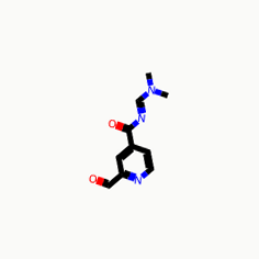 CN(C)/C=N/C(=O)c1ccnc(C=O)c1